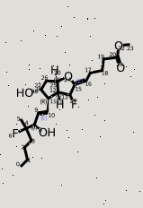 CCCCC(C)(F)[C@H](O)/C=C/[C@@H]1[C@H]2C(F)/C(=C/CCCC(=O)OC)O[C@@H]2C[C@H]1O